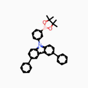 CC1(C)OB(c2cccc(-n3c4ccc(-c5ccccc5)cc4c4cc(-c5ccccc5)ccc43)c2)OC1(C)C